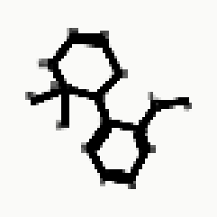 COc1ccccc1C1CC=CO[Si]1(C)C